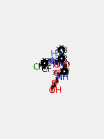 O=C(NCCOCCO)c1cccc(C(=O)Nc2ccc(N3CCCCC3)cc2C(=O)N/N=C/c2ccc(Cl)c(C(F)(F)F)c2)c1